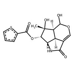 C[C@]1(O)[C@@H](OC(=O)c2cccs2)[C@H]2NC(=O)C3=COC(O)[C@H]1[C@@H]32